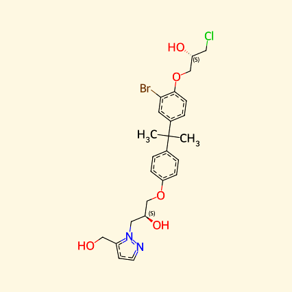 CC(C)(c1ccc(OC[C@@H](O)Cn2nccc2CO)cc1)c1ccc(OC[C@H](O)CCl)c(Br)c1